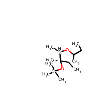 CCC(C)O[SiH](C)[C@@](C)(CC)O[Si](C)(C)C